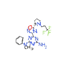 CN(c1ccccc1)c1nc(N)nc(-c2noc([C@@H]3CCCN3CCC(F)(F)F)n2)n1